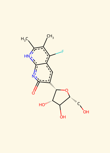 Cc1[nH]c2nc(=O)c([C@@H]3O[C@H](CO)C(O)[C@@H]3O)cc-2c(F)c1C